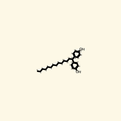 CCCCCCCCCCCCCC(c1ccc(O)cc1)c1ccc(O)cc1